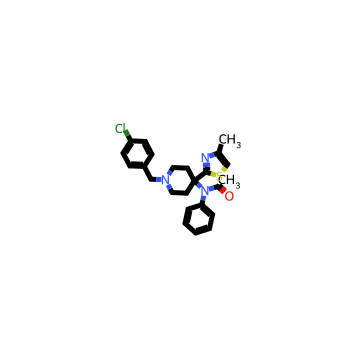 CC(=O)N(c1ccccc1)C1(c2nc(C)cs2)CCN(Cc2ccc(Cl)cc2)CC1